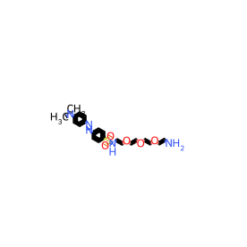 CN(C)c1ccc(/N=N/c2ccc(S(=O)(=O)NCCOCCOCCOCCN)cc2)cc1